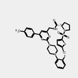 O=C(NCc1cc(-c2ccc(C(F)(F)F)cc2)nc(N2CCN(c3ccccc3F)CC2)n1)[C@@H]1CCCN1S(=O)(=O)c1ccc(Cl)s1